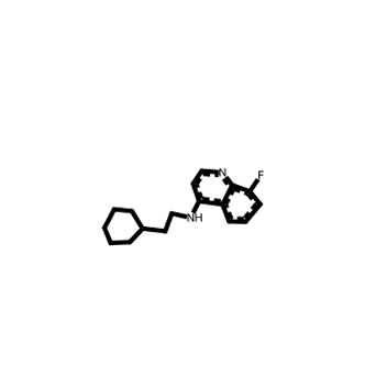 Fc1cccc2c(NCCC3CCCCC3)ccnc12